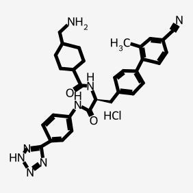 Cc1cc(C#N)ccc1-c1ccc(C[C@H](NC(=O)C2CCC(CN)CC2)C(=O)Nc2ccc(-c3nn[nH]n3)cc2)cc1.Cl